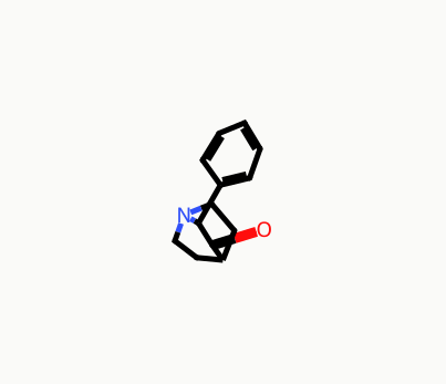 O=C1C2CCN(CC2)C1c1ccccc1